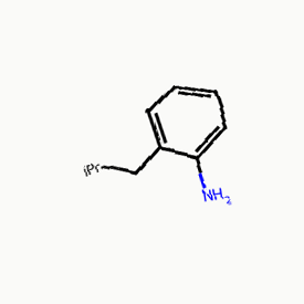 CC(C)Cc1ccccc1N